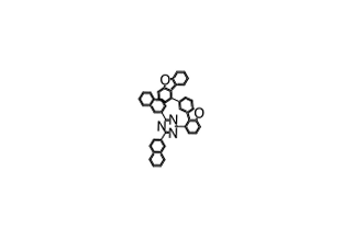 c1ccc2cc(-c3nc(-c4ccc5ccccc5c4)nc(-c4cccc5oc6ccc(-c7cccc8oc9ccccc9c78)cc6c45)n3)ccc2c1